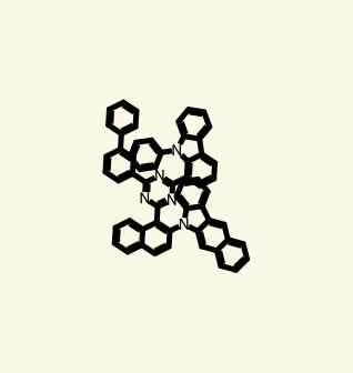 c1ccc(-c2cccc(-c3nc(-c4c(-n5c6ccccc6c6cc7ccccc7cc65)ccc5ccccc45)nc(-c4cccc5c6ccccc6n(-c6ccccc6)c45)n3)c2)cc1